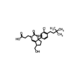 CC(C)(C)CCc1ccc(C23CCC(CO)C2=CN(CCC(=O)O)C(=O)N3)cc1Cl